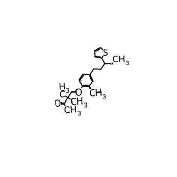 CCC(CCc1ccc(OCC(C)(C)C(C)=O)c(C)c1)c1cccs1